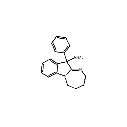 CC(=O)NC1(c2ccccc2)C2=NCCCCN2c2ccccc21